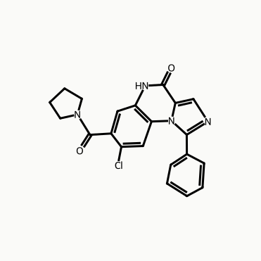 O=C(c1cc2[nH]c(=O)c3cnc(-c4ccccc4)n3c2cc1Cl)N1CCCC1